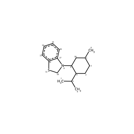 CC1CCC(C(C)C)C(N2CSc3ccccc32)C1